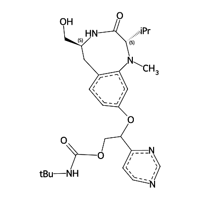 CC(C)[C@H]1C(=O)N[C@H](CO)Cc2ccc(OC(COC(=O)NC(C)(C)C)c3ccncn3)cc2N1C